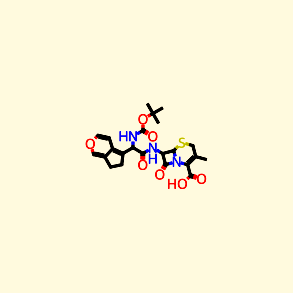 CC1=C(C(=O)O)N2C(=O)C(NC(=O)C(NC(=O)OC(C)(C)C)C3=C4C=COC=C4CC3)C2SC1